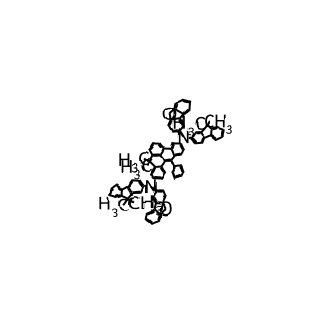 CC1(C)c2ccccc2-c2ccc(N(c3ccc4c(c3)C(C)(C)c3cccc5c3c-4c(-c3ccccc3)c3ccc(N(c4ccc6c(c4)C(C)(C)c4ccccc4-6)c4ccc6oc7ccccc7c6c4)cc35)c3ccc4oc5ccccc5c4c3)cc21